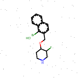 Cl.FC1CNCCC1OCc1ccc2ccccc2c1Br